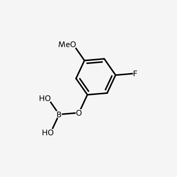 COc1cc(F)cc(OB(O)O)c1